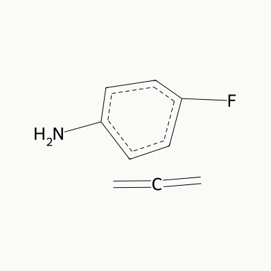 C=C=C.Nc1ccc(F)cc1